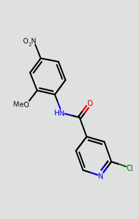 COc1cc([N+](=O)[O-])ccc1NC(=O)c1ccnc(Cl)c1